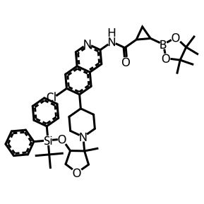 CC1(N2CCC(c3cc4cc(NC(=O)C5CC5B5OC(C)(C)C(C)(C)O5)ncc4cc3Cl)CC2)COCC1O[Si](c1ccccc1)(c1ccccc1)C(C)(C)C